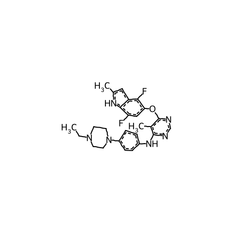 CCN1CCN(c2ccc(Nc3ncnc(Oc4cc(F)c5[nH]c(C)cc5c4F)c3C)cc2)CC1